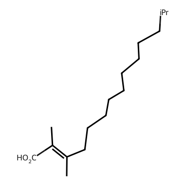 CC(CCCCCCCCCC(C)C)=C(C)C(=O)O